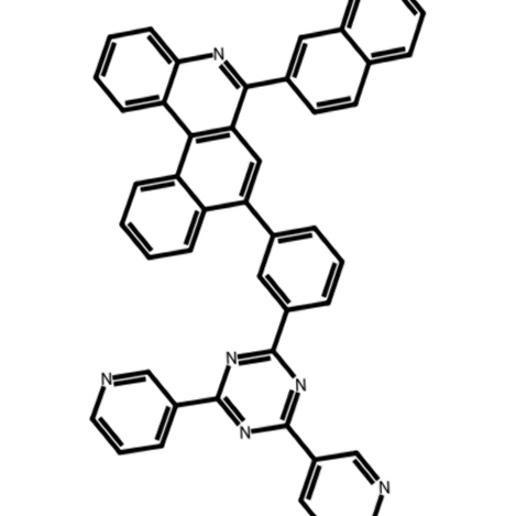 c1cncc(-c2nc(-c3cccnc3)nc(-c3cccc(-c4cc5c(-c6ccc7ccccc7c6)nc6ccccc6c5c5ccccc45)c3)n2)c1